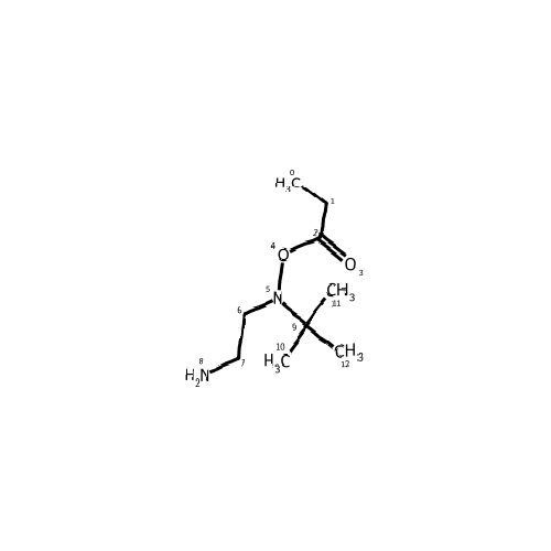 CCC(=O)ON(CCN)C(C)(C)C